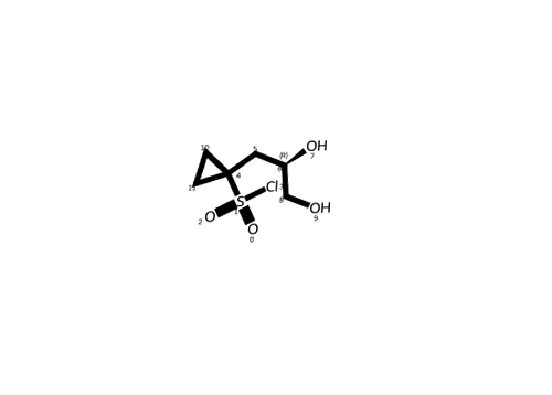 O=S(=O)(Cl)C1(C[C@@H](O)CO)CC1